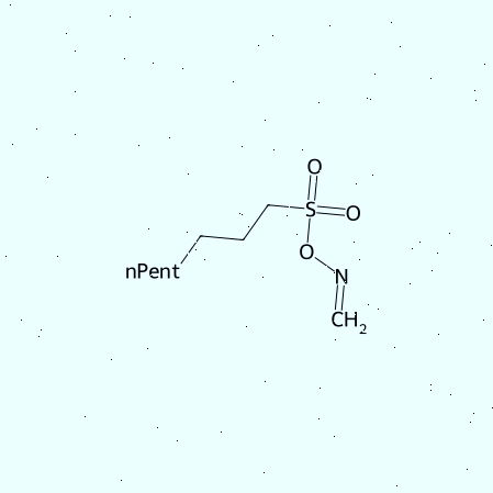 C=NOS(=O)(=O)CCCCCCCC